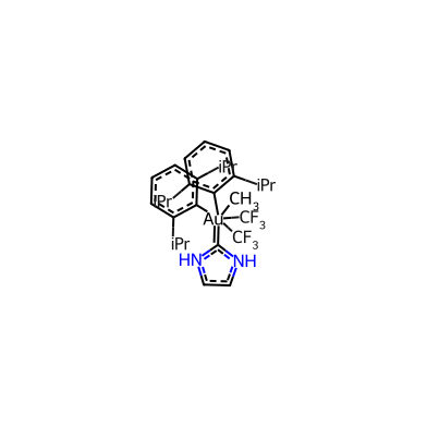 CC(C)c1cccc(C(C)C)[c]1[Au]([CH3])([c]1c(C(C)C)cccc1C(C)C)(=[c]1[nH]cc[nH]1)([C](F)(F)F)[C](F)(F)F